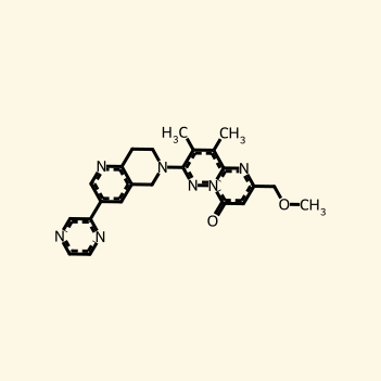 COCc1cc(=O)n2nc(N3CCc4ncc(-c5cnccn5)cc4C3)c(C)c(C)c2n1